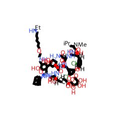 CCNCCCCCCCOCCNCC1[C@H](O)C2C3C[C@H](CC[C@H]3O)[C@H]3NC(=O)[C@@H]4NC(=O)[C@H](CC(N)=O)NC(=O)[C@H](NC(=O)[C@@H](CC(C)C)NC)[C@H](O)[C@H]5CC[C@@H](Oc6cc4cc(c6O[C@@H]4O[C@H](CO)[C@@H](O)[C@H](O)[C@H]4O)O[C@@H]4CC[C@@H](C[C@@H]4Cl)[C@@H](O)[C@H](NC3=O)C(=O)N[C@H](C(=O)NC3C4CC6CC(C4)CC3C6)C2C[C@@H]1O)[C@H](Cl)C5